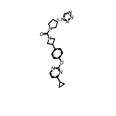 O=C(N1CC(c2ccc(Oc3nccc(C4CC4)n3)cc2)C1)N1CC[C@H](n2cnnn2)C1